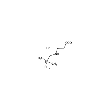 C[Si](C)(C)CNCCC(=O)[O-].[Li+]